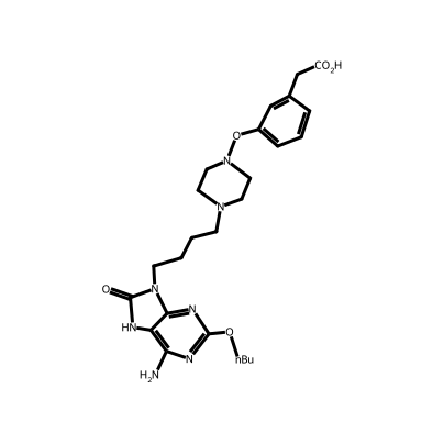 CCCCOc1nc(N)c2[nH]c(=O)n(CCCCN3CCN(Oc4cccc(CC(=O)O)c4)CC3)c2n1